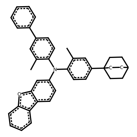 Cc1cc(-c2ccccc2)ccc1N(c1ccc2c(c1)oc1ccccc12)c1ccc(C23CCC(CC2)CC3)cc1C